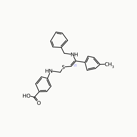 Cc1ccc(/C(=C/SCNc2ccc(C(=O)O)cc2)NCc2ccccc2)cc1